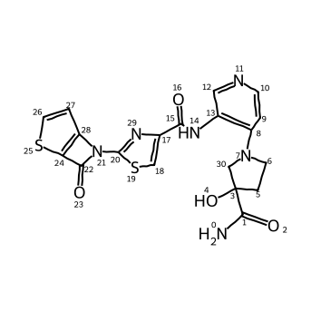 NC(=O)C1(O)CCN(c2ccncc2NC(=O)c2csc(N3C(=O)c4sccc43)n2)C1